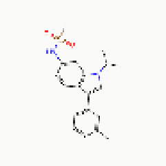 Cc1cccc(-c2cn(C(C)C)c3cc(NS(C)(=O)=O)ccc23)c1